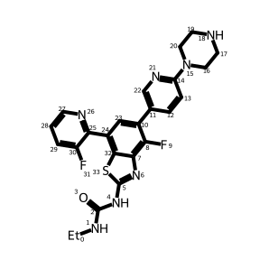 CCNC(=O)Nc1nc2c(F)c(-c3ccc(N4CCNCC4)nc3)cc(-c3ncccc3F)c2s1